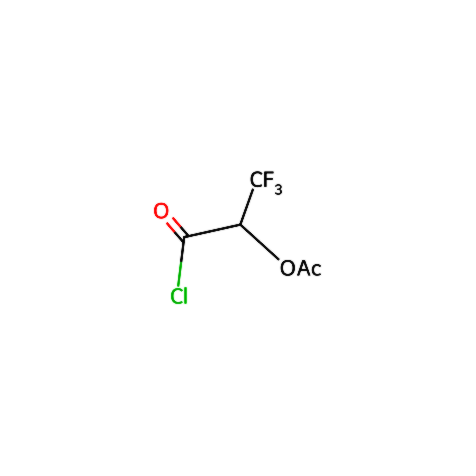 CC(=O)OC(C(=O)Cl)C(F)(F)F